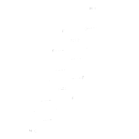 C/C=C\Oc1ccc(-c2ccc(C3CCC(C)CC3)c(F)c2F)c(F)c1F